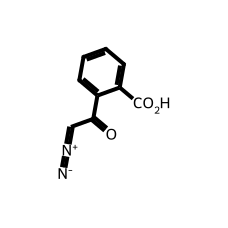 [N-]=[N+]=CC(=O)c1ccccc1C(=O)O